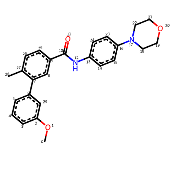 COc1cccc(-c2cc(C(=O)Nc3ccc(N4CCOCC4)cc3)ccc2C)c1